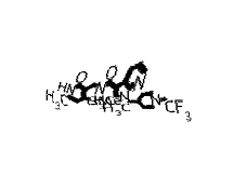 CSc1cc(C)[nH]c(=O)c1CNC(=O)c1c(C)n(C(C)C2CCN(CC(F)(F)F)CC2)c2ncccc12